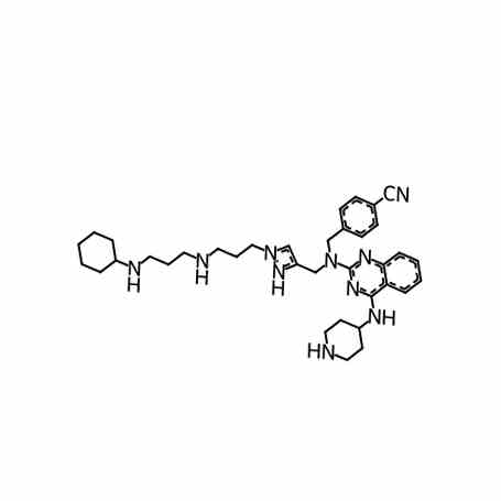 N#Cc1ccc(CN(Cc2cn(CCCNCCCNC3CCCCC3)[nH]2)c2nc(NC3CCNCC3)c3ccccc3n2)cc1